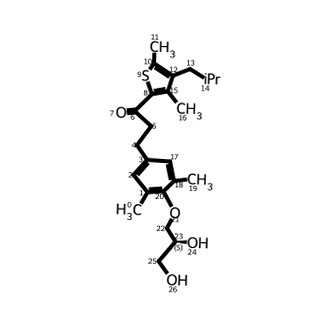 Cc1cc(CCC(=O)c2sc(C)c(CC(C)C)c2C)cc(C)c1OC[C@@H](O)CO